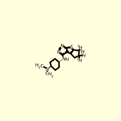 [2H]C1([2H])Cc2c(sc3ncnc(N[C@H]4CC[C@H](N(C)C)CC4)c23)C1([2H])[2H]